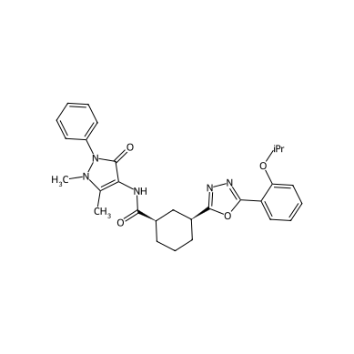 Cc1c(NC(=O)[C@@H]2CCC[C@H](c3nnc(-c4ccccc4OC(C)C)o3)C2)c(=O)n(-c2ccccc2)n1C